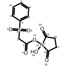 O=C(CS(=O)(=O)c1ccccc1)O[N+]1(O)C(=O)CCC1=O